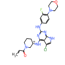 C=CC(=O)N1CCC[C@@H](Nc2nc(Nc3ccc(N4CCOCC4)c(F)c3)nc3[nH]cc(Cl)c23)C1